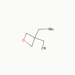 CC(C)(C)CC1(CC#N)COC1